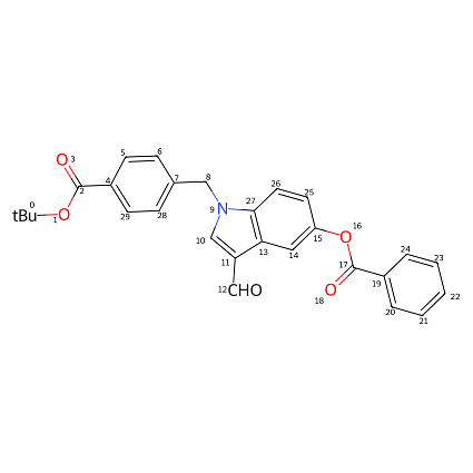 CC(C)(C)OC(=O)c1ccc(Cn2cc(C=O)c3cc(OC(=O)c4ccccc4)ccc32)cc1